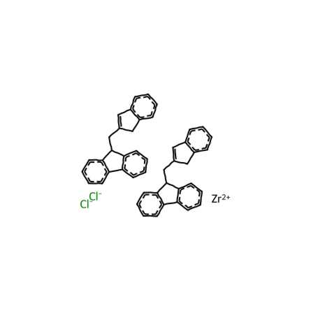 C1=C(CC2c3ccccc3-c3ccccc32)Cc2ccccc21.C1=C(CC2c3ccccc3-c3ccccc32)Cc2ccccc21.[Cl-].[Cl-].[Zr+2]